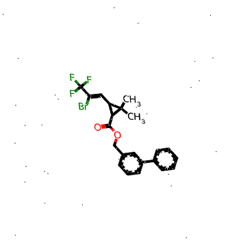 CC1(C)C(C=C(Br)C(F)(F)F)C1C(=O)OCc1cccc(-c2ccccc2)c1